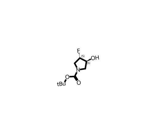 CC(C)(C)OC(=O)N1C[C@H](O)[C@@H](F)C1